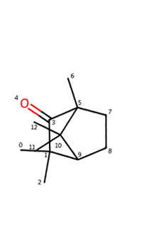 CC1(C)C(=O)C2(C)CCC1C2(C)C